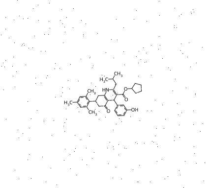 Cc1cc(C)c(C2CC(=O)C3=C(C2)NC(CC(C)C)=C(C(=O)OC2CCCC2)C3c2cccc(O)c2)c(C)c1